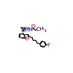 CCC(=O)NC[C@@H]1C[C@H]1c1cccc2oc(CCCCc3ccc(F)cc3)cc12